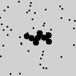 c1ccc(-c2ccc(-n3c4ccccc4c4cc5c(cc43)c3ccccc3n5-c3ccc4c(c3)c3ncccc3n4-c3ccccc3)cc2)cc1